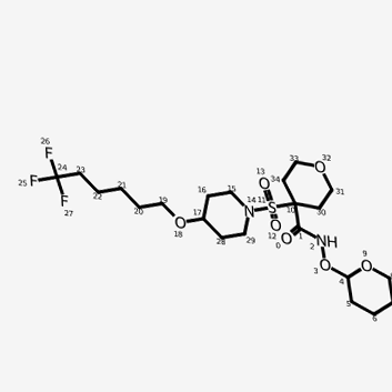 O=C(NOC1CCCCO1)C1(S(=O)(=O)N2CCC(OCCCCCC(F)(F)F)CC2)CCOCC1